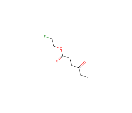 CCC(=O)CCC(=O)OCCF